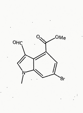 COC(=O)c1cc(Br)cc2c1c(C=O)cn2C